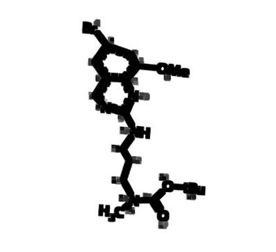 COc1cc(Br)cc2cnc(NCCCN(C)C(=O)OC(C)(C)C)nc12